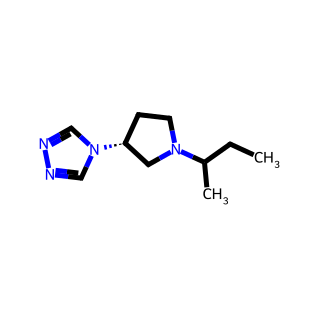 CCC(C)N1CC[C@@H](n2cnnc2)C1